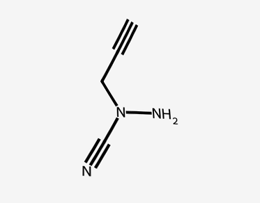 C#CCN(N)C#N